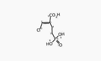 O=C(O)C(=CCl)CCP(=O)(O)O